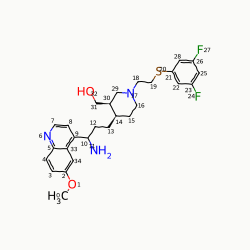 COc1ccc2nccc(C(N)CC[C@@H]3CCN(CCSc4cc(F)cc(F)c4)C[C@@H]3CO)c2c1